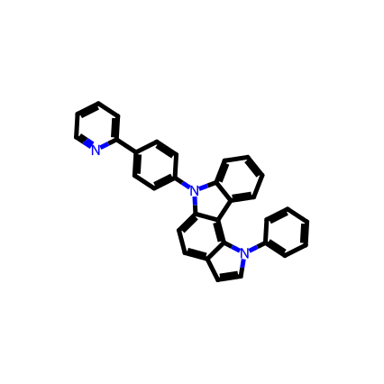 c1ccc(-n2ccc3ccc4c(c5ccccc5n4-c4ccc(-c5ccccn5)cc4)c32)cc1